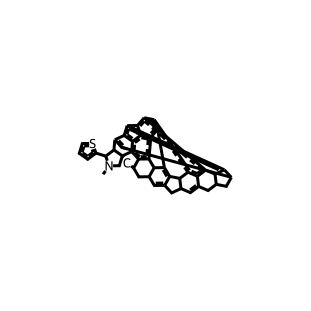 CN1CC23CC4CC5C=C6CC7C=C8CC9CC%10C=C(c%11c%12c%13c%14c(c8c8c%14c%14c%15c(c4c2c%11c%15%13)C5C%14=C6C87)C9C=%12%10)C3C1c1cccs1